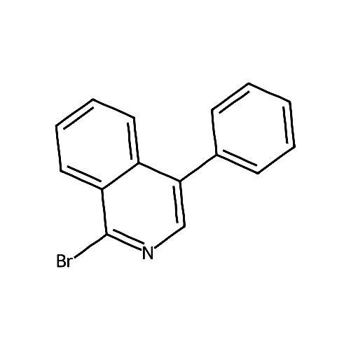 Brc1ncc(-c2ccccc2)c2ccccc12